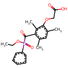 CCOP(=O)(C(=O)c1c(C)cc(C)c(OCC(=O)O)c1C)c1ccccc1